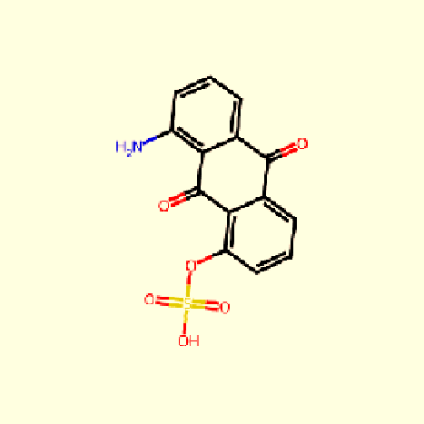 Nc1cccc2c1C(=O)c1c(OS(=O)(=O)O)cccc1C2=O